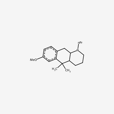 CCCN1CCCC2C1Cc1ccc(OC)cc1C2(C)C